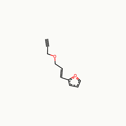 C#CCOCC=Cc1ccco1